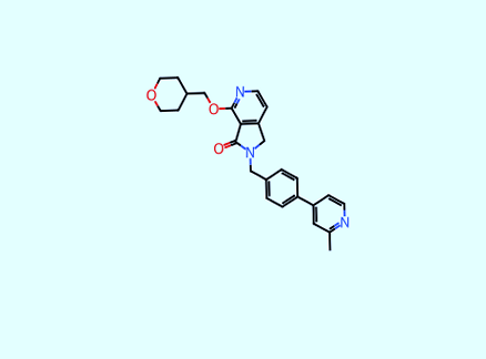 Cc1cc(-c2ccc(CN3Cc4ccnc(OCC5CCOCC5)c4C3=O)cc2)ccn1